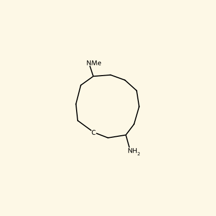 CNC1CCCCCC(N)CCCCC1